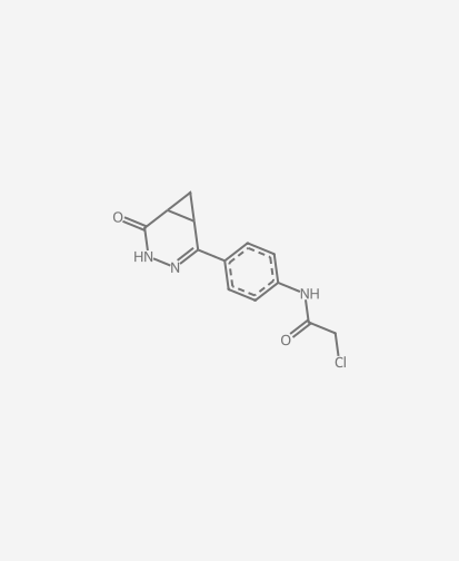 O=C(CCl)Nc1ccc(C2=NNC(=O)C3CC23)cc1